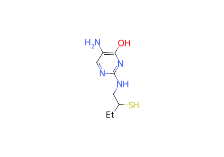 CCC(S)CNc1ncc(N)c(O)n1